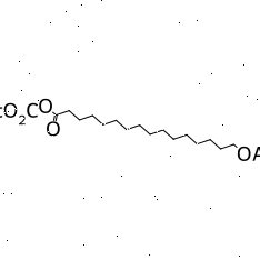 CCOC(=O)OC(=O)CCCCCCCCCCCCCCCOC(C)=O